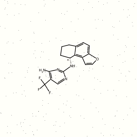 Nc1nc(N[C@@H]2CCCc3ccc4occc4c32)ncc1C(F)(F)F